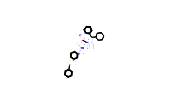 CN1C(=O)C(NC(=S)Nc2cccc(OCc3ccccc3)c2)N=C(C2CCCCC2)c2ccccc21